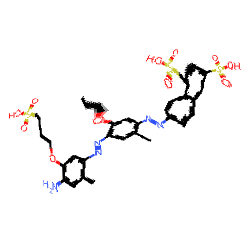 CCOc1cc(N=Nc2ccc3cc(S(=O)(=O)O)cc(S(=O)(=O)O)c3c2)c(C)cc1N=Nc1cc(OCCCS(=O)(=O)O)c(N)cc1C